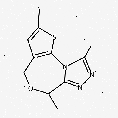 Cc1cc2c(s1)-n1c(C)nnc1C(C)OC2